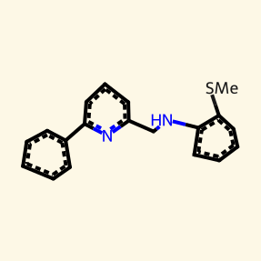 CSc1ccccc1NCc1cccc(-c2ccccc2)n1